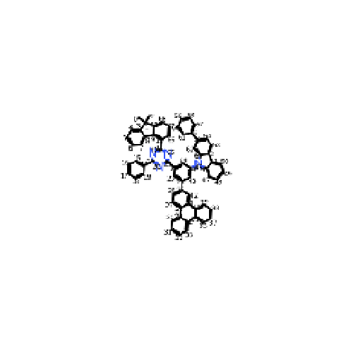 CC1(C)c2ccccc2-c2c(-c3nc(-c4ccccc4)nc(-c4cc(-c5ccc6c7ccccc7c7ccccc7c6c5)cc(-n5c6ccccc6c6ccc(-c7ccccc7)cc65)c4)n3)cccc21